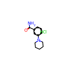 Cl.NC(=O)c1cccc(N2CCCCC2)c1